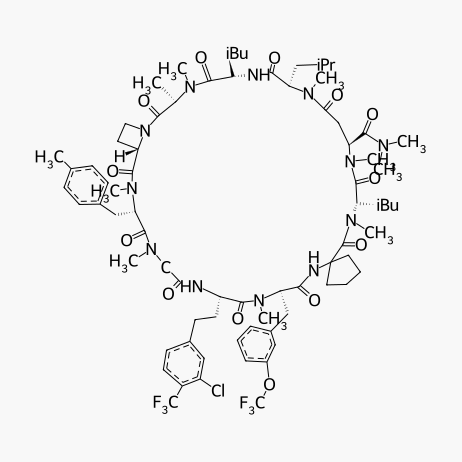 CC[C@H](C)[C@@H]1NC(=O)[C@H](CC(C)C)N(C)C(=O)C[C@@H](C(=O)N(C)C)N(C)C(=O)[C@H]([C@@H](C)CC)N(C)C(=O)C2(CCCC2)NC(=O)[C@H](Cc2cccc(OC(F)(F)F)c2)N(C)C(=O)[C@H](CCc2ccc(C(F)(F)F)c(Cl)c2)NC(=O)CN(C)C(=O)[C@H](Cc2ccc(C)cc2)N(C)C(=O)[C@@H]2CCN2C(=O)[C@H](C)N(C)C1=O